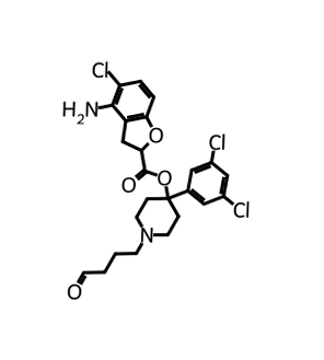 Nc1c(Cl)ccc2c1CC(C(=O)OC1(c3cc(Cl)cc(Cl)c3)CCN(CCCC=O)CC1)O2